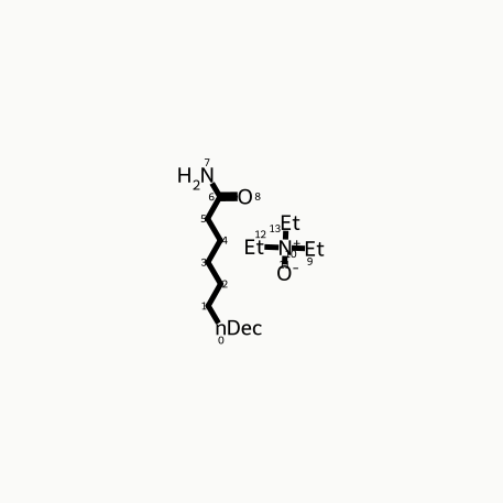 CCCCCCCCCCCCCCCC(N)=O.CC[N+]([O-])(CC)CC